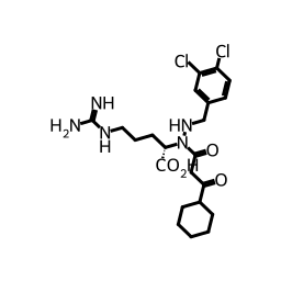 N=C(N)NCCC[C@@H](C(=O)O)N(NCc1ccc(Cl)c(Cl)c1)C(=O)CC(=O)C1CCCCC1